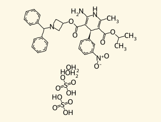 CC1=C(C(=O)OC(C)C)[C@@H](c2cccc([N+](=O)[O-])c2)C(C(=O)OC2CN(C(c3ccccc3)c3ccccc3)C2)=C(N)N1.O.O.O=S(=O)(O)O.O=S(=O)(O)O